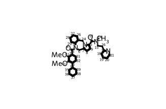 COc1c(C(=O)N2Cc3ccc(C(=O)N(C)CCc4ccccn4)n3Cc3ccccc32)ccc(-c2ccccc2)c1OC